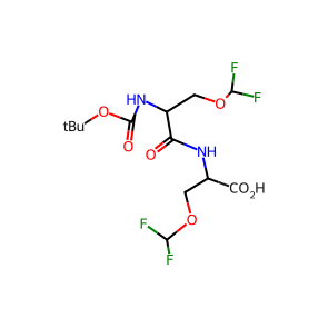 CC(C)(C)OC(=O)NC(COC(F)F)C(=O)NC(COC(F)F)C(=O)O